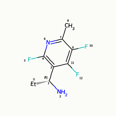 CC[C@@H](N)c1c(F)nc(C)c(F)c1F